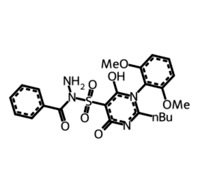 CCCCc1nc(=O)c(S(=O)(=O)N(N)C(=O)c2ccccc2)c(O)n1-c1c(OC)cccc1OC